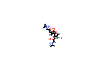 CC(C)NCC(O)C[C@@]1(O)CO[C@@]2(CC(O)CNC(C)C)[C@@H]1OC[C@@H]2O